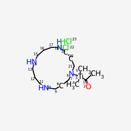 C[C](=O)[Ti]([CH3])([CH3])[N]1CCCNCCCNCCCNCCC1.Cl.Cl